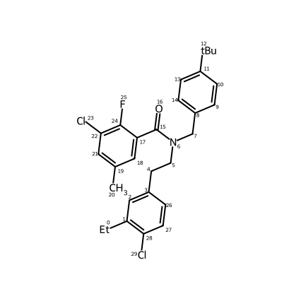 CCc1cc(CCN(Cc2ccc(C(C)(C)C)cc2)C(=O)c2cc(C)cc(Cl)c2F)ccc1Cl